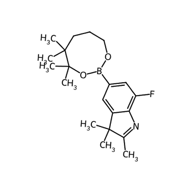 CC1=Nc2c(F)cc(B3OCCCC(C)(C)C(C)(C)O3)cc2C1(C)C